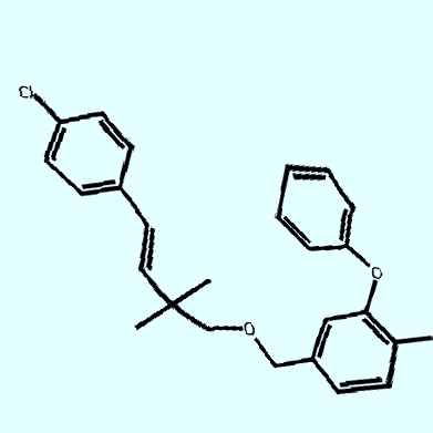 CC(C)(C=Cc1ccc(Cl)cc1)COCc1ccc(F)c(Oc2ccccc2)c1